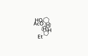 CC[C@H]1CC[C@H]2[C@@H]3CCC4CCCC(O)(OC(C)=O)[C@]4(C)[C@H]3CC[C@]12C